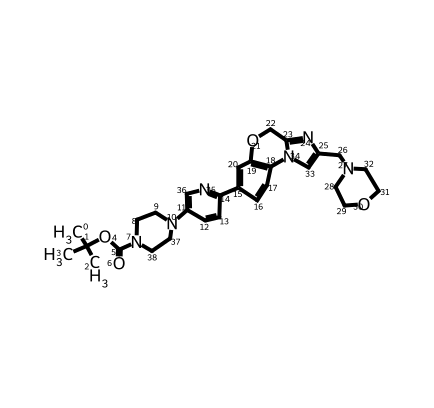 CC(C)(C)OC(=O)N1CCN(c2ccc(-c3ccc4c(c3)OCc3nc(CN5CCOCC5)cn3-4)nc2)CC1